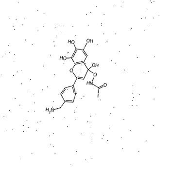 CC(=O)NOC1(O)C=C(c2ccc(CN)cc2)Oc2c1cc(O)c(O)c2O